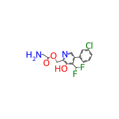 NCC(=O)OCc1ncc(-c2cccc(Cl)c2)c(C(F)F)c1O